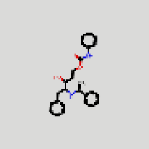 C=C(NC(Cc1ccccc1)C(O)CCOC(=O)Nc1ccccc1)c1ccccc1